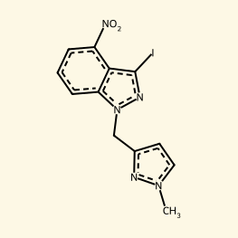 Cn1ccc(Cn2nc(I)c3c([N+](=O)[O-])cccc32)n1